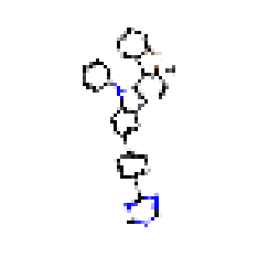 C1=C[C@@H]2Sc3ccccc3C2c2c1c1cc(-c3ccc(-c4ncncn4)cc3)ccc1n2-c1ccccc1